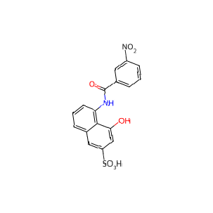 O=C(Nc1cccc2cc(S(=O)(=O)O)cc(O)c12)c1cccc([N+](=O)[O-])c1